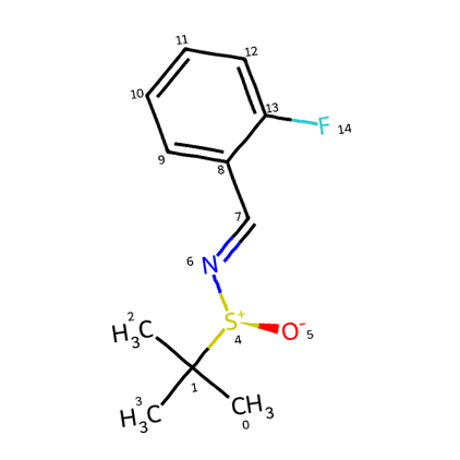 CC(C)(C)[S@+]([O-])N=Cc1ccccc1F